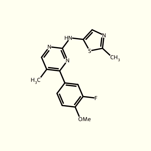 COc1ccc(-c2nc(Nc3cnc(C)s3)ncc2C)cc1F